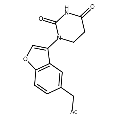 CC(=O)Cc1ccc2occ(N3CCC(=O)NC3=O)c2c1